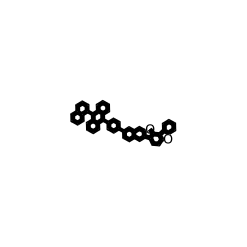 c1ccc2c(-c3c4ccccc4c(-c4ccc(-c5ccc6cc7c(cc6c5)oc5c7ccc6oc7ccccc7c65)cc4)c4ccccc34)cccc2c1